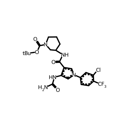 CC(C)(C)OC(=O)N1CCCC(NC(=O)c2cn(-c3ccc(C(F)(F)F)c(Cl)c3)cc2NC(N)=O)C1